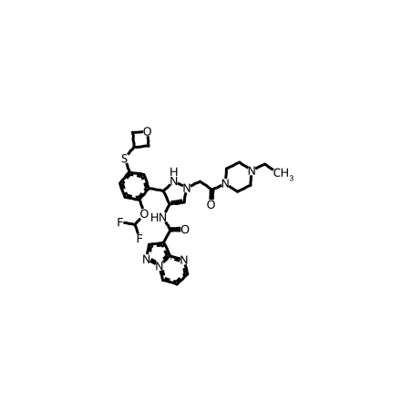 CCN1CCN(C(=O)CN2C=C(NC(=O)c3cnn4cccnc34)C(c3cc(SC4COC4)ccc3OC(F)F)N2)CC1